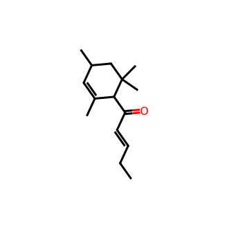 CCC=CC(=O)C1C(C)=CC(C)CC1(C)C